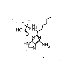 CCCCCC(N)c1nc(N)c2nc[nH]c2n1.O=C(O)C(F)(F)F